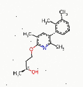 Cc1cc(-c2cccc(C)c2C)c(C)nc1OCC[C@H](C)O